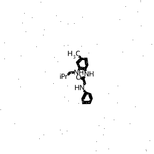 Cc1ccc(NC(=O)CNc2ccccc2)c(NCC(C)C)c1